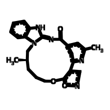 Cc1cc2cc(n1)-c1cnoc1OCCC[C@@H](C)CN1/C(=N/C2=O)Nc2ccccc21